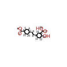 COC(=O)c1ccc(C=Cc2ccc(O)c(C(=O)O)c2)cc1